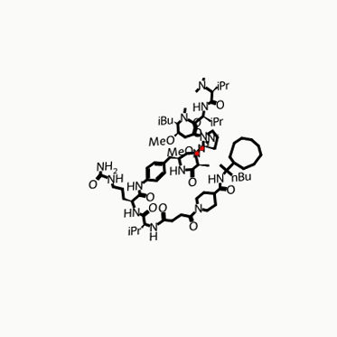 CCCCC(C)(NC(=O)C1CCN(C(=O)CCC(=O)N[C@H](C(=O)N[C@@H](CCCNC(N)=O)C(=O)Nc2ccc(C[C@@H](CN=[N+]=[N-])NC(=O)[C@H](C)[C@@H](OC)[C@@H]3CCCN3C(=O)C[C@@H](OC)C([C@@H](C)CC)N(C)C(=O)[C@@H](NC(=O)[C@H](C(C)C)N(C)C)C(C)C)cc2)C(C)C)CC1)C1CCCCCCCC1